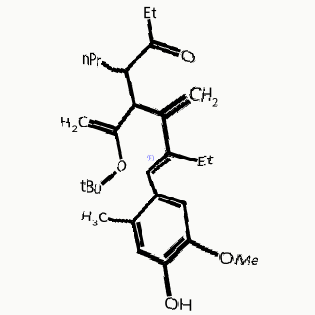 C=C(OC(C)(C)C)C(C(=C)/C(=C/c1cc(OC)c(O)cc1C)CC)C(CCC)C(=O)CC